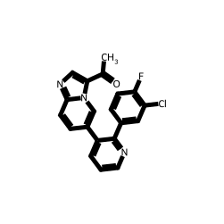 CC(=O)c1cnc2ccc(-c3cccnc3-c3ccc(F)c(Cl)c3)cn12